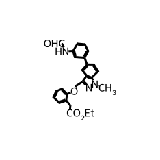 CCOC(=O)Cc1ccccc1OCc1nn(C)c2ccc(-c3cccc(NC=O)c3)cc12